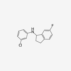 Fc1ccc2c(c1)C(Nc1cccc(Cl)c1)CC2